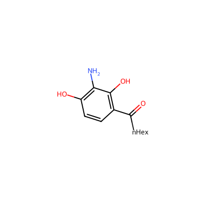 CCCCCCC(=O)c1ccc(O)c(N)c1O